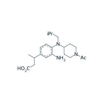 CC(=O)N1CCC(N(CC(C)C)c2ccc(C(C)CC(=O)O)cc2N)CC1